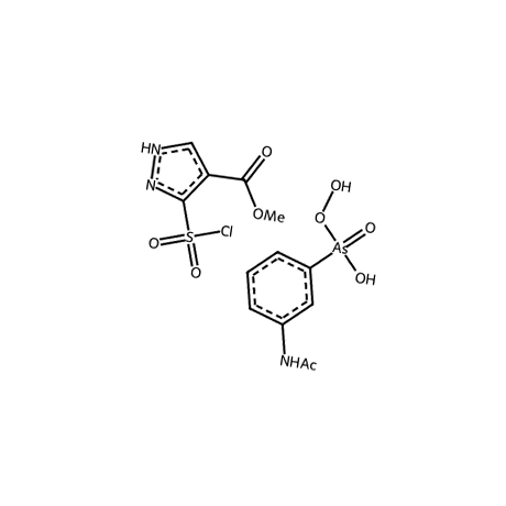 CC(=O)Nc1cccc([As](=O)(O)OO)c1.COC(=O)c1c[nH]nc1S(=O)(=O)Cl